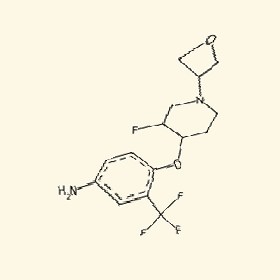 Nc1ccc(OC2CCN(C3COC3)CC2F)c(C(F)(F)F)c1